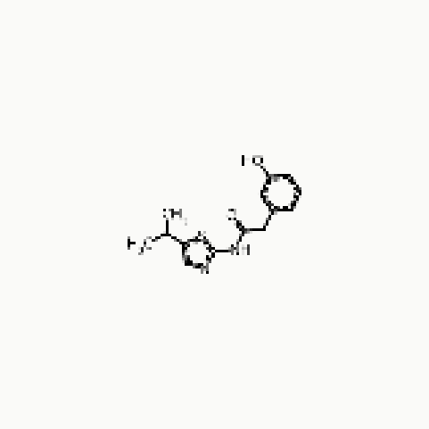 CC(C)c1cnc(NC(=O)Cc2cccc(O)c2)s1